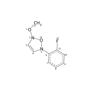 CON1C=CN(c2ccccc2F)O1